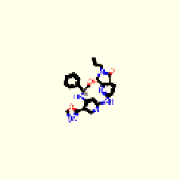 C=CCN1Cc2nc(Nc3cc(N[C@H](CO)c4ccccc4)c(-c4nnco4)cn3)ccc2C1=O